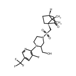 CC1(C)[C@@H]2CC[C@@]1(CS(=O)(=O)N1CCN(c3ncc(C(F)(F)F)cc3F)C(CO)C1)C(=O)C2